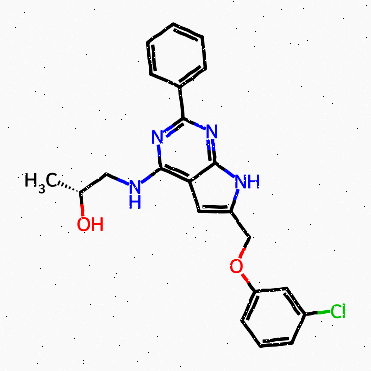 C[C@@H](O)CNc1nc(-c2ccccc2)nc2[nH]c(COc3cccc(Cl)c3)cc12